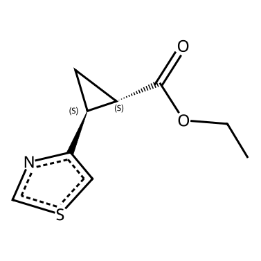 CCOC(=O)[C@H]1C[C@@H]1c1cscn1